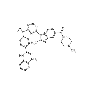 Cc1nc2cc(C(=O)N3CCN(C)CC3)ccn2c1-c1ccnc(C2(c3ccc(C(=O)Nc4ccccc4N)cc3)CC2)n1